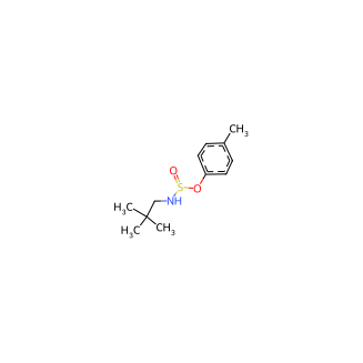 Cc1ccc(OS(=O)NCC(C)(C)C)cc1